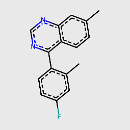 Cc1ccc2c(-c3ccc(F)cc3C)ncnc2c1